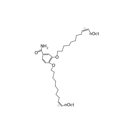 CCCCCCCC/C=C\CCCCCCCCOc1ccc(C(N)=O)cc1OCCCCCCCC/C=C\CCCCCCCC